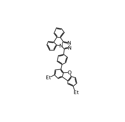 CCc1ccc2oc3c(-c4ccc(-c5nnc6c7ccccc7c7ccccc7n56)cc4)cc(CC)cc3c2c1